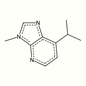 CC(C)c1ccnc2c1ncn2C